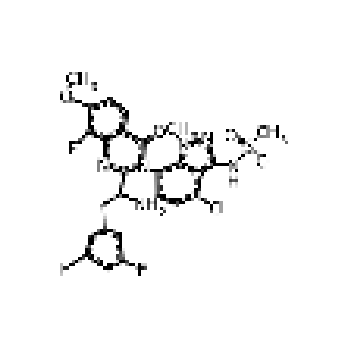 COc1ccc2c(=O)n(-c3ccc(Cl)c4c(NS(C)(=O)=O)nn(C)c34)c(C(N)Cc3cc(F)cc(F)c3)nc2c1F